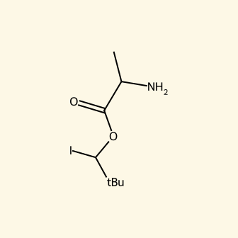 CC(N)C(=O)OC(I)C(C)(C)C